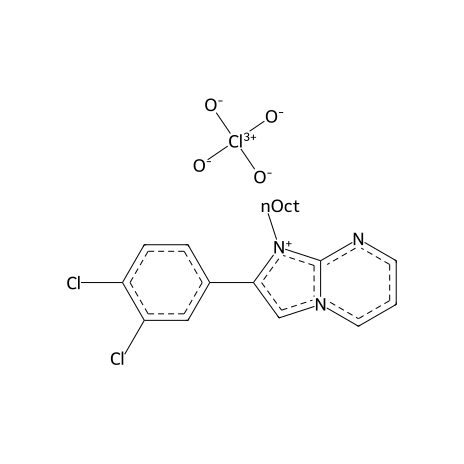 CCCCCCCC[n+]1c(-c2ccc(Cl)c(Cl)c2)cn2cccnc21.[O-][Cl+3]([O-])([O-])[O-]